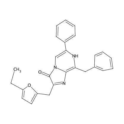 CCc1ccc(Cc2nc3c(Cc4ccccc4)[nH]c(-c4ccccc4)cn-3c2=O)o1